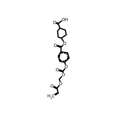 C=CC(=O)OCOC(=O)Oc1ccc(C(=O)OC2CCC(C(=O)O)CC2)cc1